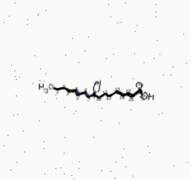 CCCC/C=C/C=C/C(Cl)CCCCCCCC(=O)O